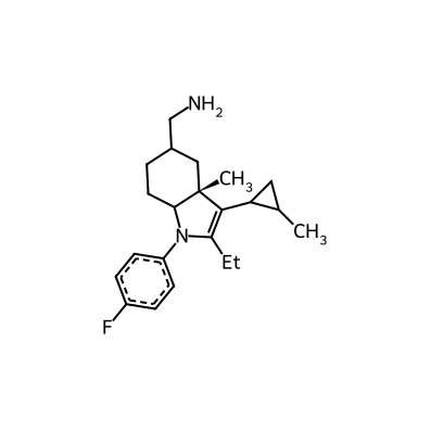 CCC1=C(C2CC2C)[C@@]2(C)CC(CN)CCC2N1c1ccc(F)cc1